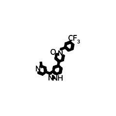 Cc1cc(-c2n[nH]c3ccc(-c4ccn(Cc5cccc(C(F)(F)F)c5)c(=O)c4)cc23)ccn1